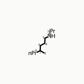 CCCC(C)CCCNC(C)C